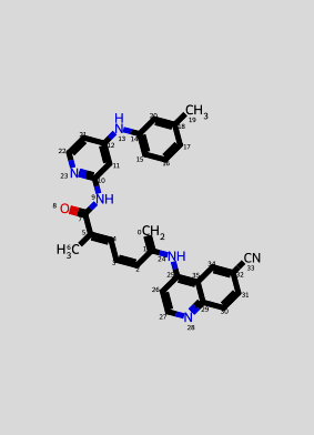 C=C(/C=C\C=C(/C)C(=O)Nc1cc(Nc2cccc(C)c2)ccn1)Nc1ccnc2ccc(C#N)cc12